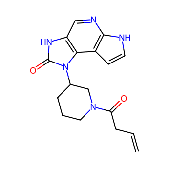 C=CCC(=O)N1CCCC(n2c(=O)[nH]c3cnc4[nH]ccc4c32)C1